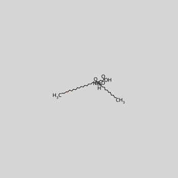 CCCCCCCCCCCCCCCCCCNC(=O)C(CCC(=O)O)NC(=O)CCCCCCCCCCC